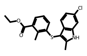 CCOC(=O)c1cccc(Sc2c(C)[nH]c3cc(Cl)ccc23)c1C